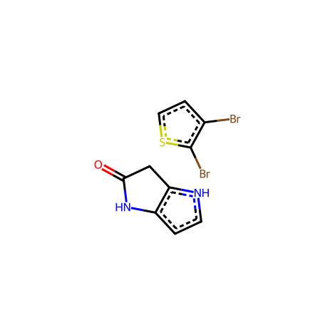 Brc1ccsc1Br.O=C1Cc2[nH]ccc2N1